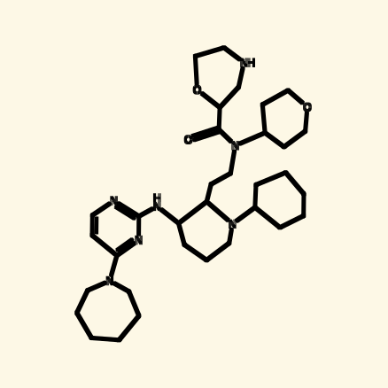 O=C(C1CNCCO1)N(CCC1C(Nc2nccc(N3CCCCCC3)n2)CCCN1C1CCCCC1)C1CCOCC1